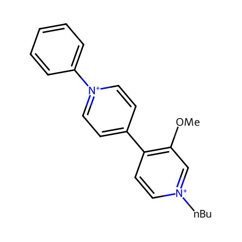 CCCC[n+]1ccc(-c2cc[n+](-c3ccccc3)cc2)c(OC)c1